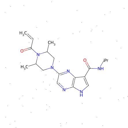 C=CC(=O)N1C(C)CN(c2cnc3[nH]cc(C(=O)NC(C)C)c3n2)CC1C